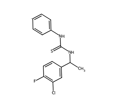 CC(NC(=S)Nc1cc[c]cc1)c1ccc(F)c(Cl)c1